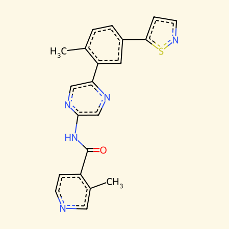 Cc1cnccc1C(=O)Nc1cnc(-c2cc(-c3ccns3)ccc2C)cn1